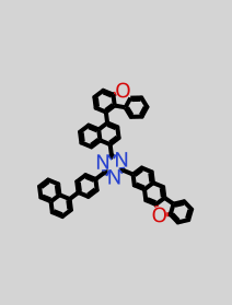 c1ccc2c(-c3ccc(-c4nc(-c5ccc6cc7c(cc6c5)oc5ccccc57)nc(-c5ccc(-c6cccc7oc8ccccc8c67)c6ccccc56)n4)cc3)cccc2c1